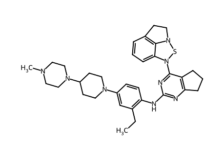 CCc1cc(N2CCC(N3CCN(C)CC3)CC2)ccc1Nc1nc2c(c(N3SN4CCc5cccc3c54)n1)CCC2